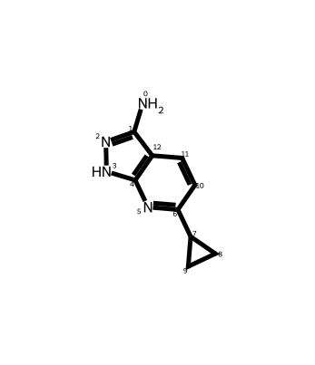 Nc1n[nH]c2nc(C3CC3)ccc12